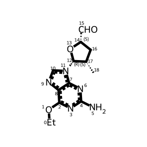 CCOc1nc(N)nc2c1ncn2[C@@H]1O[C@H](C=O)C[C@@H]1C